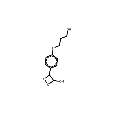 OCCCOc1ccc(C2OOC2O)cc1